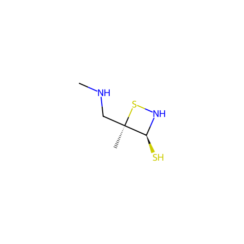 CNC[C@@]1(C)SN[C@H]1S